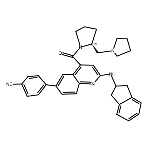 N#Cc1ccc(-c2ccc3nc(NC4Cc5ccccc5C4)cc(C(=O)N4CCC[C@H]4CN4CCCC4)c3c2)cc1